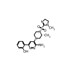 C[C@@H]1CN(c2cc(-c3ccccc3O)nnc2N)CCN1S(=O)(=O)C1=NCCN1C